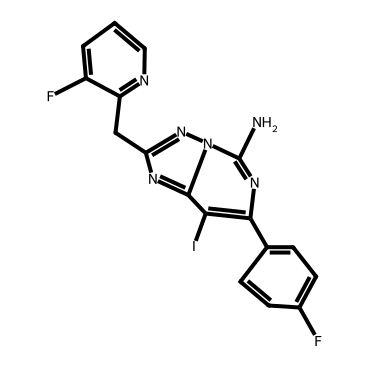 Nc1nc(-c2ccc(F)cc2)c(I)c2nc(Cc3ncccc3F)nn12